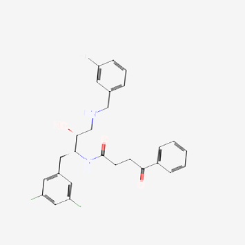 CCc1cccc(CNC[C@H](O)[C@H](Cc2cc(F)cc(F)c2)NC(=O)CCC(=O)c2ccccc2)c1